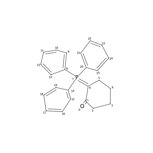 O=C1CCCCC1=P(c1ccccc1)(c1ccccc1)c1ccccc1